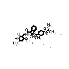 COc1cc(C)[nH]c(=O)c1CNC(=O)c1c(C)n([C@@H](C)C2CCC(S(=O)(=O)C(C)C)CC2)c2ccccc12